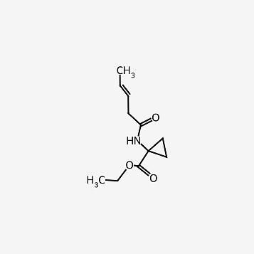 CC=CCC(=O)NC1(C(=O)OCC)CC1